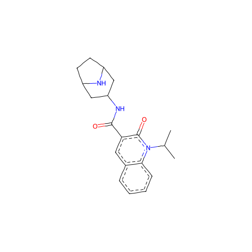 CC(C)n1c(=O)c(C(=O)NC2CC3CCC(C2)N3)cc2ccccc21